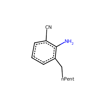 CCCCCCc1cccc(C#N)c1N